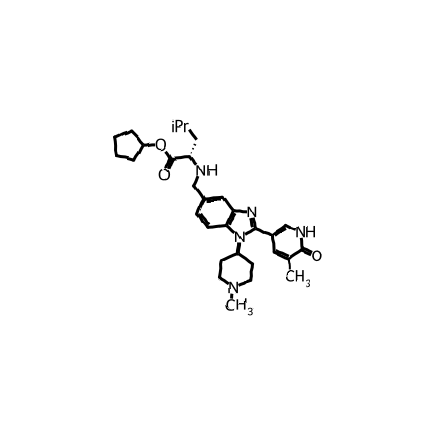 Cc1cc(-c2nc3cc(CN[C@@H](CC(C)C)C(=O)OC4CCCC4)ccc3n2C2CCN(C)CC2)c[nH]c1=O